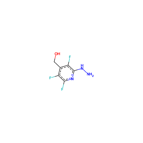 NNc1nc(F)c(F)c(CO)c1F